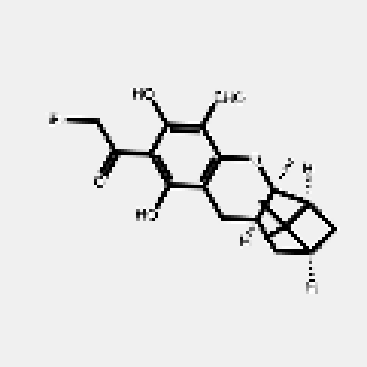 CC(C)CC(=O)c1c(O)c(C=O)c2c(c1O)C[C@@H]1C[C@@H]3C[C@@H](C3(C)C)[C@]1(C)O2